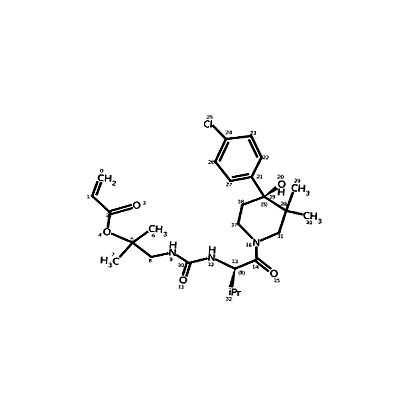 C=CC(=O)OC(C)(C)CNC(=O)N[C@@H](C(=O)N1CC[C@](O)(c2ccc(Cl)cc2)C(C)(C)C1)C(C)C